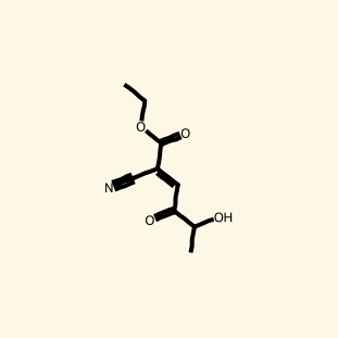 CCOC(=O)C(C#N)=CC(=O)C(C)O